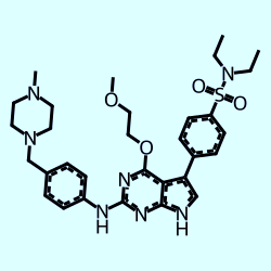 CCN(CC)S(=O)(=O)c1ccc(-c2c[nH]c3nc(Nc4ccc(CN5CCN(C)CC5)cc4)nc(OCCOC)c23)cc1